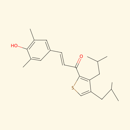 Cc1cc(C=CC(=O)c2scc(CC(C)C)c2CC(C)C)cc(C)c1O